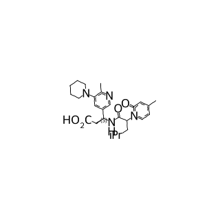 Cc1ccn(C(CC(C)C)C(=O)N[C@@H](CC(=O)O)c2cnc(C)c(N3CCCCC3)c2)c(=O)c1